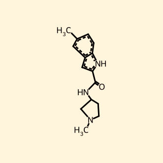 Cc1ccc2[nH]c(C(=O)NC3CCN(C)C3)cc2c1